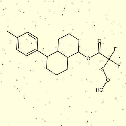 Cc1ccc(C2CCCC3C(OC(=O)C(F)(F)SOO)CCCC23)cc1